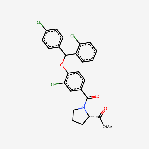 COC(=O)[C@@H]1CCCN1C(=O)c1ccc(OC(c2ccc(Cl)cc2)c2ccccc2Cl)c(Cl)c1